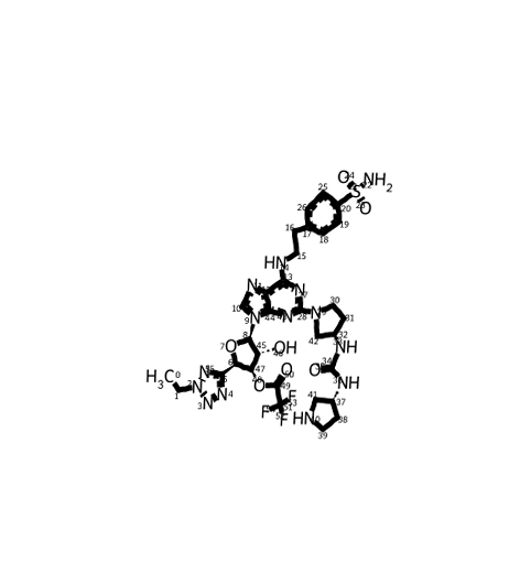 CCn1nnc([C@H]2O[C@@H](n3cnc4c(NCCc5ccc(S(N)(=O)=O)cc5)nc(N5CC[C@@H](NC(=O)N[C@@H]6CCNC6)C5)nc43)[C@H](O)[C@@H]2OC(=O)C(F)(F)F)n1